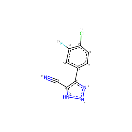 N#Cc1[nH]nnc1-c1ccc(Cl)c(F)c1